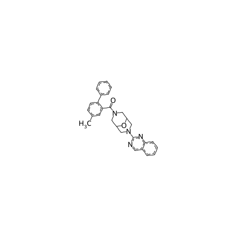 Cc1ccc(-c2ccccc2)c(C(=O)N2CC3CN(c4ncc5ccccc5n4)CC(C2)O3)c1